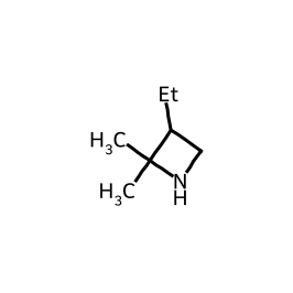 CCC1CNC1(C)C